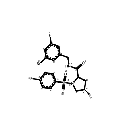 O=C(NCc1cc(F)cc(Br)c1)C1C[C@@H](F)CN1S(=O)(=O)c1ccc(F)cc1